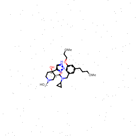 COCCCc1cc(CN(C(=O)[C@H]2CN(C(=O)O)CC[C@]2(O)c2c[nH]nn2)C2CC2)cc(OCCOC)c1